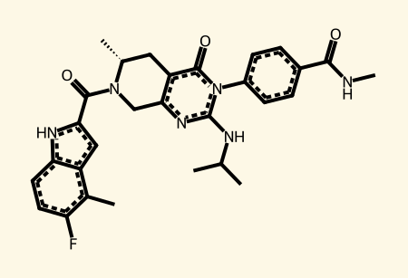 CNC(=O)c1ccc(-n2c(NC(C)C)nc3c(c2=O)C[C@@H](C)N(C(=O)c2cc4c(C)c(F)ccc4[nH]2)C3)cc1